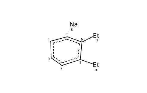 CCc1ccccc1CC.[Na]